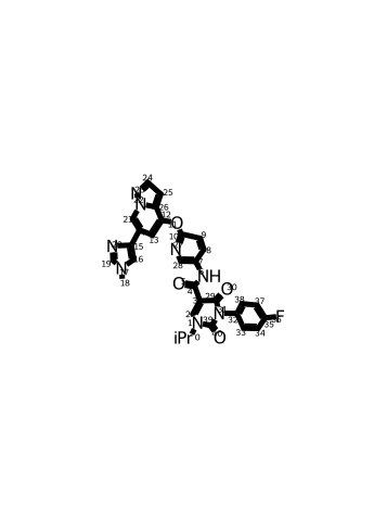 CC(C)n1cc(C(=O)Nc2ccc(Oc3cc(-c4cn(C)cn4)cn4nccc34)nc2)c(=O)n(-c2ccc(F)cc2)c1=O